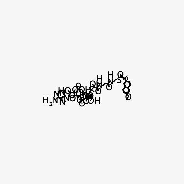 COc1ccc2cc([C@H](C)C(=O)SCCNC(=O)CCNC(=O)C(O)C(C)(C)COP(=O)(O)OP(=O)(O)OCC3OC(n4cnc5c(N)ncnc54)C(O)C3OP(=O)(O)O)ccc2c1